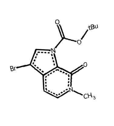 Cn1ccc2c(Br)cn(C(=O)OC(C)(C)C)c2c1=O